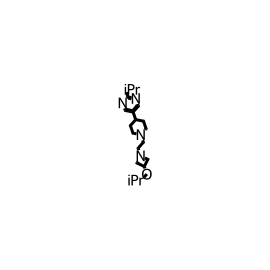 CC(C)OC1CN(CCN2CCC(c3cnc(C(C)C)nc3)CC2)C1